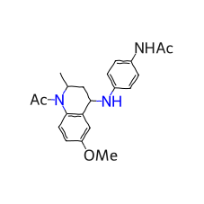 COc1ccc2c(c1)C(Nc1ccc(NC(C)=O)cc1)CC(C)N2C(C)=O